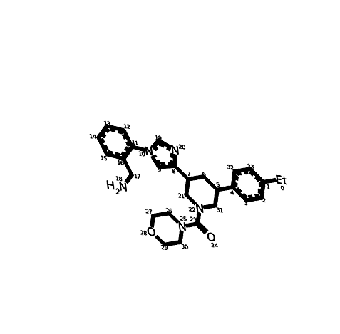 CCc1ccc(C2CC(c3cn(-c4ccccc4CN)cn3)CN(C(=O)N3CCOCC3)C2)cc1